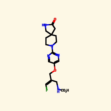 O=C(O)NC/C(=C\F)COc1cnc(N2CCC3(CC2)CNC(=O)C3)nc1